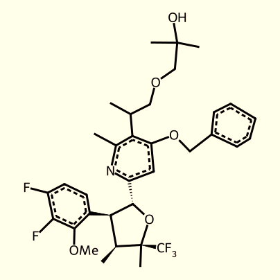 COc1c([C@H]2[C@H](c3cc(OCc4ccccc4)c(C(C)COCC(C)(C)O)c(C)n3)O[C@@](C)(C(F)(F)F)[C@H]2C)ccc(F)c1F